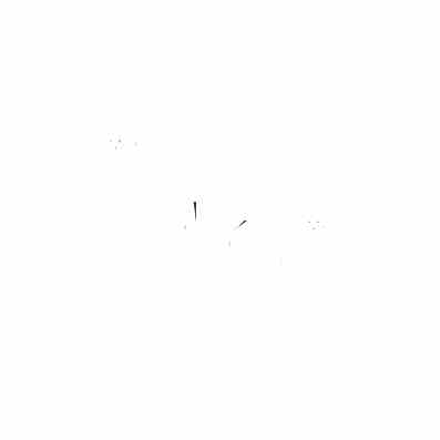 COC(=O)C[C@H]1CCC(C)(C)C[C@H]1c1cccc(OC)c1